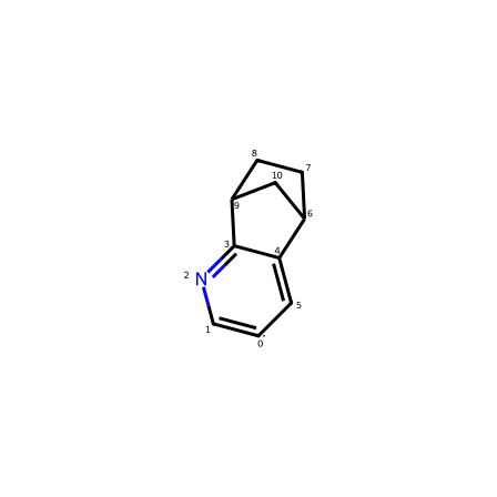 [c]1cnc2c(c1)C1CCC2C1